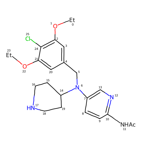 CCOc1cc(CN(c2ccc(NC(C)=O)nc2)C2CCNCC2)cc(OCC)c1Cl